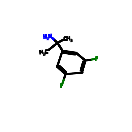 CC(C)(N)c1cc(F)[c]c(F)c1